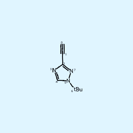 C#Cc1ncn(C(C)(C)C)n1